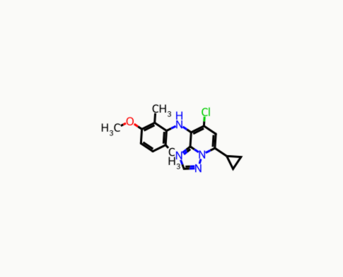 COc1ccc(C)c(Nc2c(Cl)cc(C3CC3)n3ncnc23)c1C